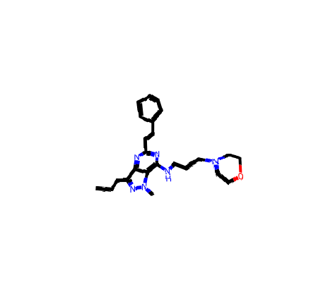 CCCc1nn(C)c2c(NCCCN3CCOCC3)nc(/C=C/c3ccccc3)nc12